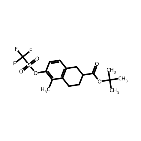 Cc1c(OS(=O)(=O)C(F)(F)F)ccc2c1CCC(C(=O)OC(C)(C)C)C2